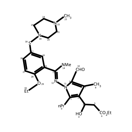 CCCc1c(C(O)CC(=O)OCC)c(C)c(C=O)n1/N=C(\NC)c1cc(SN2CCN(C)CC2)ccc1OCC